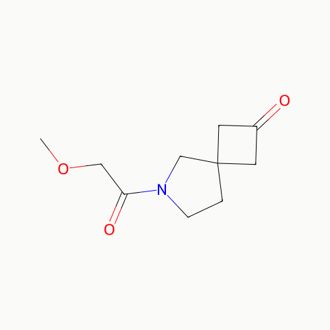 COCC(=O)N1CCC2(CC(=O)C2)C1